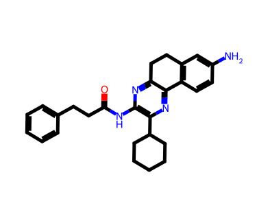 Nc1ccc2c(c1)CCc1nc(NC(=O)CCc3ccccc3)c(C3CCCCC3)nc1-2